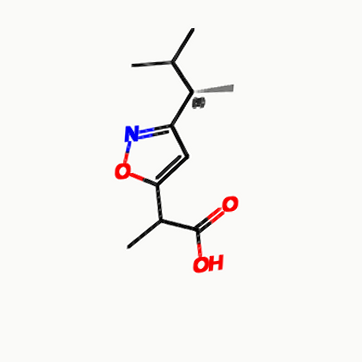 CC(C(=O)O)c1cc([C@@H](C)C(C)C)no1